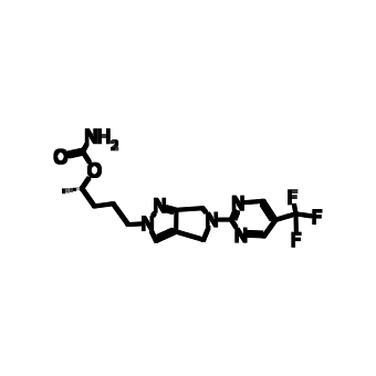 C[C@@H](CCCn1cc2c(n1)CN(c1ncc(C(F)(F)F)cn1)C2)OC(N)=O